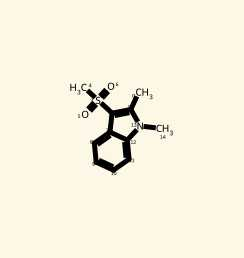 Cc1c(S(C)(=O)=O)c2ccccc2n1C